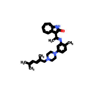 CC(C)=C/C=C(\C)CN1CCN(c2ccc(C)c(/N=C(\C)c3c4cccccc-4[nH]c3=O)c2)CC1